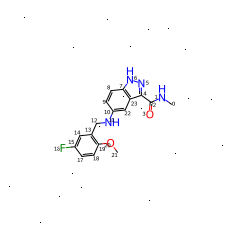 CNC(=O)c1n[nH]c2ccc(NCc3cc(F)ccc3OC)cc12